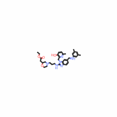 CCOC(=O)CC1CN(CCCNc2nc3ccc(CNc4cc(C)cc(C)c4)cc3n2Cc2nc(C)ccc2O)CCO1